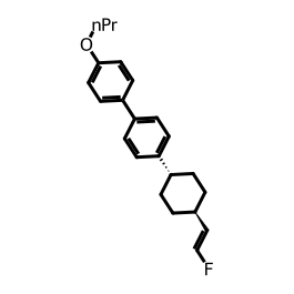 CCCOc1ccc(-c2ccc([C@H]3CC[C@H](C=CF)CC3)cc2)cc1